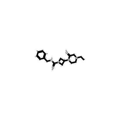 CCN1CCN(C2CN(C(=O)OCc3ccccc3)C2)C(=O)C1